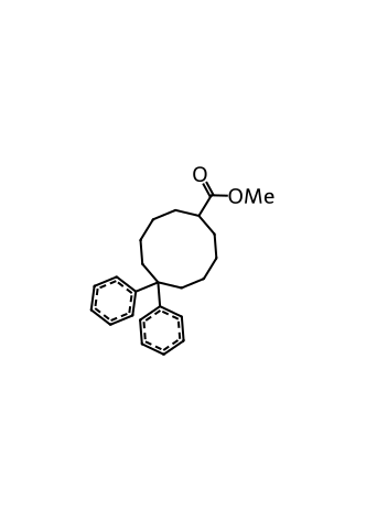 COC(=O)C1CCCCC(c2ccccc2)(c2ccccc2)CCCC1